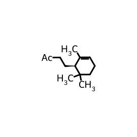 CC(=O)CC[C@H]1C(C)=CCCC1(C)C